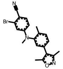 Cc1ccc(-c2c(C)noc2C)cc1N(C)c1ccc(C#N)c(Br)c1